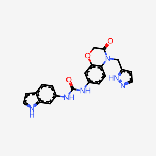 O=C(Nc1ccc2c(c1)OCC(=O)N2Cc1ccn[nH]1)Nc1ccc2cc[nH]c2c1